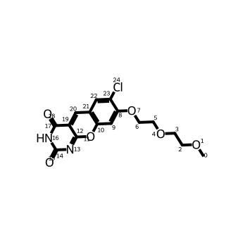 COCCOCCOc1cc2oc3nc(=O)[nH]c(=O)c-3cc2cc1Cl